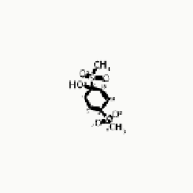 CS(=O)(=O)C1=CCC(O)(S(C)(=O)=O)C=C1